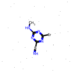 CNc1n[c]([Er])nc(B=N)n1